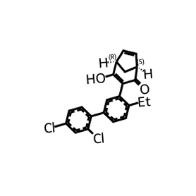 CCc1ccc(-c2ccc(Cl)cc2Cl)cc1C1=C(O)[C@H]2C=C[C@H](C2)C1=O